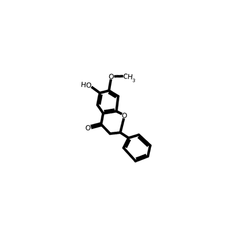 COc1cc2c(cc1O)C(=O)CC(c1ccccc1)O2